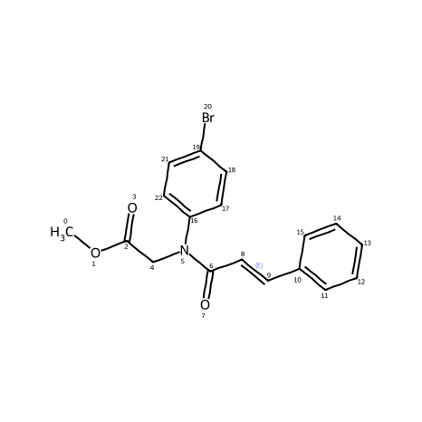 COC(=O)CN(C(=O)/C=C/c1ccccc1)c1ccc(Br)cc1